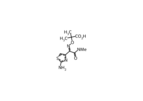 CNC(=O)/C(=N\OC(C)(C)C(=O)O)c1csc(N)n1